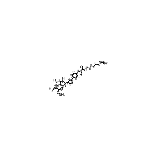 C=C(NC(=O)c1csc(-c2ccc(CNC(=O)OCCCCCCN=[N+]=[N-])cc2)n1)C(=O)NC(=C)C(=O)OC